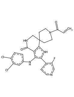 C=CC(=O)N1CCC2(CC1)CNC(=O)c1c2[nH]c(-c2ccncc2F)c1Nc1ccc(Cl)c(Cl)c1